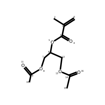 C=C(C)C(=O)OC(COC(C)=O)COC(C)=O